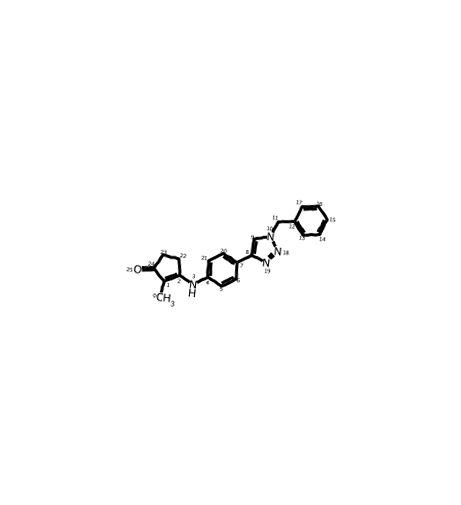 CC1=C(Nc2ccc(-c3cn(Cc4ccccc4)nn3)cc2)CCC1=O